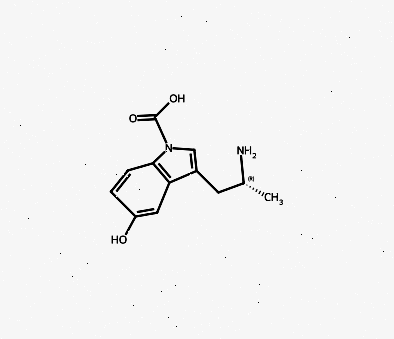 C[C@@H](N)Cc1cn(C(=O)O)c2ccc(O)cc12